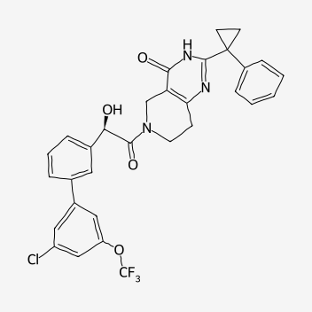 O=C([C@H](O)c1cccc(-c2cc(Cl)cc(OC(F)(F)F)c2)c1)N1CCc2nc(C3(c4ccccc4)CC3)[nH]c(=O)c2C1